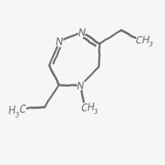 CCC1=NN=CC(CC)N(C)C1